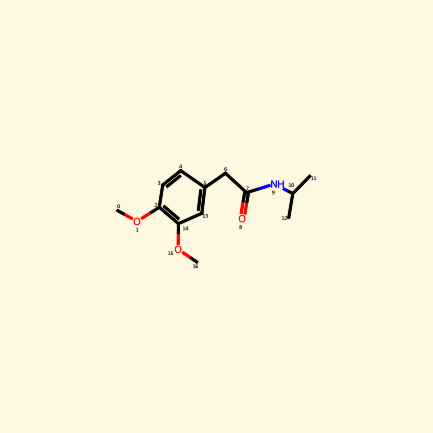 COc1ccc(CC(=O)NC(C)C)cc1OC